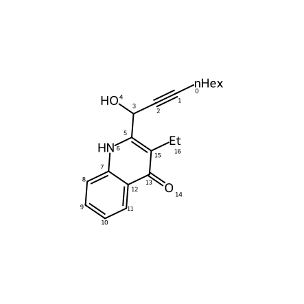 CCCCCCC#CC(O)c1[nH]c2ccccc2c(=O)c1CC